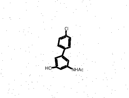 CC(=O)Nc1cc(O)cc(-c2ccc(Cl)cc2)c1